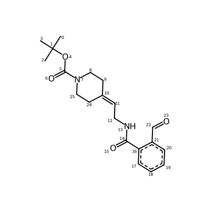 CC(C)(C)OC(=O)N1CCC(=CCNC(=O)c2ccccc2C=O)CC1